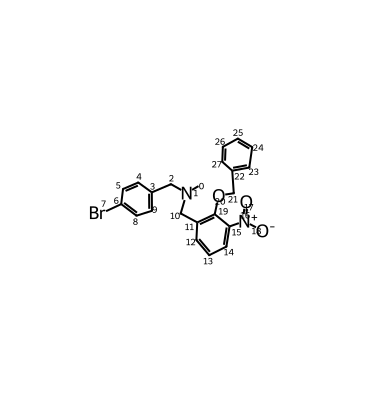 CN(Cc1ccc(Br)cc1)Cc1cccc([N+](=O)[O-])c1OCc1ccccc1